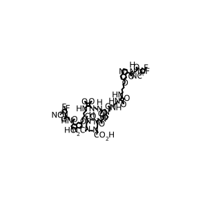 N#C[C@@H]1CC(F)(F)CN1C(=O)CNC(=O)c1ccnc2ccc(OCCCCNc3c(NCCNC(=O)CN(CC(=O)NCCNc4c(NCCCCOc5ccc6nccc(C(=O)NCC(=O)N7CC(F)(F)C[C@@H]7C#N)c6c5)c(=O)c4=O)C4CCN(C(=O)CN5CCN(CC(=O)O)CCN(CC(=O)O)CCN(CC(=O)O)CC5)C4)c(=O)c3=O)cc12